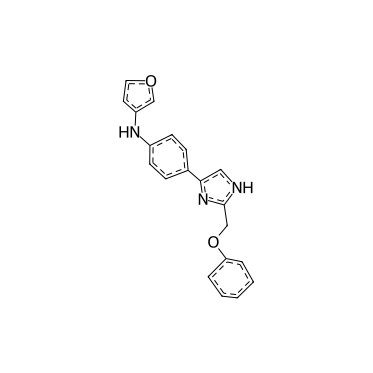 c1ccc(OCc2nc(-c3ccc(Nc4ccoc4)cc3)c[nH]2)cc1